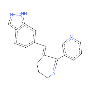 C(=C1/CCCN=C1c1cccnc1)/c1ccc2cn[nH]c2c1